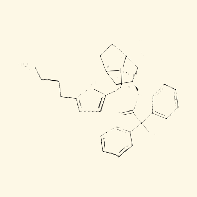 CCOC(=O)CCCc1ccc(C[N@+]2(C)[C@@H]3CC[C@H]2C[C@@H](OC(=O)C(O)(c2ccccc2)c2ccccc2)C3)s1.[Cl-]